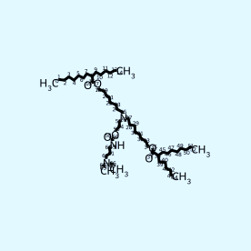 CCCCCCCCC(CCCCCC)C(=O)OCCCCCCCCN(CCCCCCCCOC(=O)C(CCCCCC)CCCCCCCC)CCCOC(=O)NCCCN(CC)CC